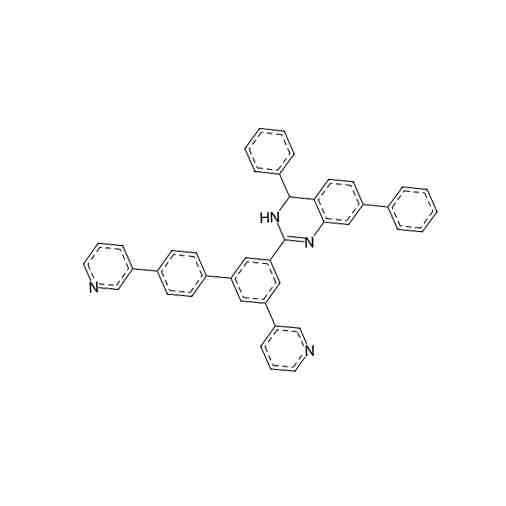 c1ccc(-c2ccc3c(c2)N=C(c2cc(-c4ccc(-c5cccnc5)cc4)cc(-c4cccnc4)c2)NC3c2ccccc2)cc1